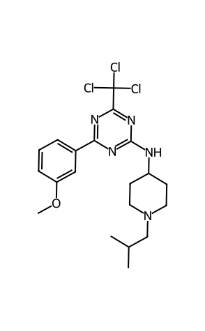 COc1cccc(-c2nc(NC3CCN(CC(C)C)CC3)nc(C(Cl)(Cl)Cl)n2)c1